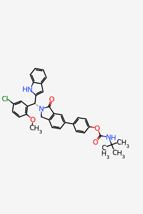 COc1ccc(Cl)cc1[C@H](c1cc2ccccc2[nH]1)N1Cc2ccc(-c3ccc(OC(=O)NC(C)(C)C)cc3)cc2C1=O